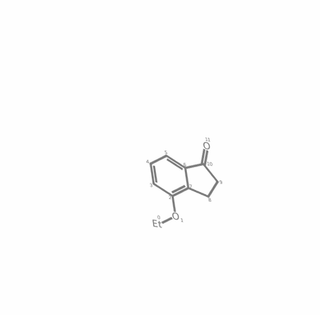 CCOc1cccc2c1CCC2=O